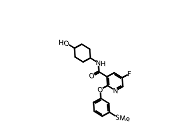 CSc1cccc(Oc2ncc(F)cc2C(=O)NC2CCC(O)CC2)c1